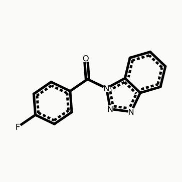 O=C(c1ccc(F)cc1)n1nnc2ccccc21